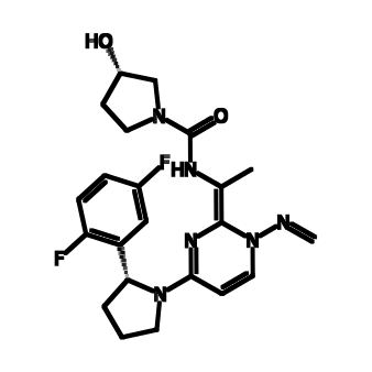 C=NN1C=CC(N2CCC[C@@H]2c2cc(F)ccc2F)=N/C1=C(/C)NC(=O)N1CC[C@H](O)C1